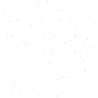 CCn1nccc1C(=O)N[C@H](C(=O)Nc1ccc(CC(N)=O)cc1F)C1CCCCCC1